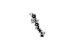 CC(C)(C)OC(=O)N1CC2(CN(C(=O)Cc3ccc(NC(=O)NCc4ccc(Cl)cc4)cc3)C2)C1